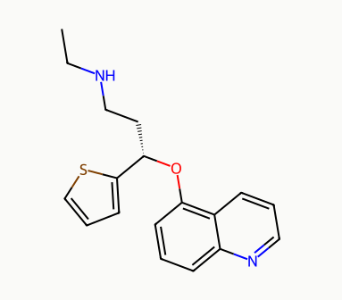 CCNCC[C@H](Oc1cccc2ncccc12)c1cccs1